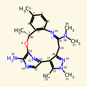 Cc1ccc2c(c1)[C@@H](C)Oc1nc(cnc1N)-c1c(nn(C)c1C#N)C/C(N(C)C)=N\2